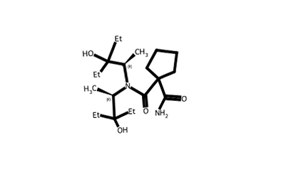 CCC(O)(CC)[C@@H](C)N(C(=O)C1(C(N)=O)CCCC1)[C@H](C)C(O)(CC)CC